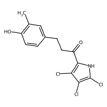 Cc1cc(CCC(=O)c2[nH]c(Cl)c(Cl)c2Cl)ccc1O